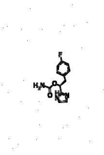 NC(=O)O[C@@H](Cc1ccc(F)cc1)c1ncc[nH]1